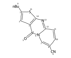 CCCCc1cc2c(=O)n3cc(C#N)ccc3nc2s1